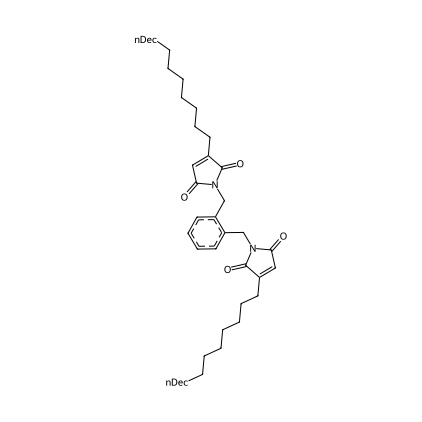 CCCCCCCCCCCCCCCCCC1=CC(=O)N(Cc2ccccc2CN2C(=O)C=C(CCCCCCCCCCCCCCCCC)C2=O)C1=O